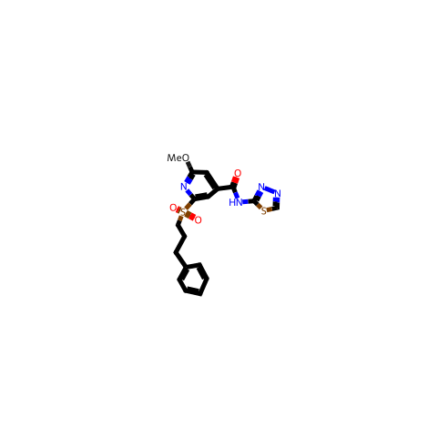 COc1cc(C(=O)Nc2nncs2)cc(S(=O)(=O)CCCc2ccccc2)n1